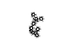 c1ccc(-c2cc(-c3ccccc3)nc(-c3ccc(-c4ccc5sc6sc7c8ccccc8n(-c8ccccc8)c7c6c5c4)cc3)n2)cc1